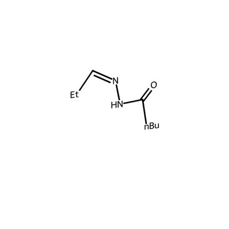 CC/C=N\NC(=O)CCCC